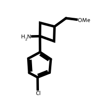 CO[CH]C1CC(N)(c2ccc(Cl)cc2)C1